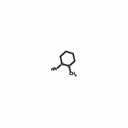 CCCN1CCCCB1C